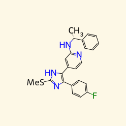 CSc1nc(-c2ccc(F)cc2)c(-c2ccnc(N[C@H](C)c3ccccc3)c2)[nH]1